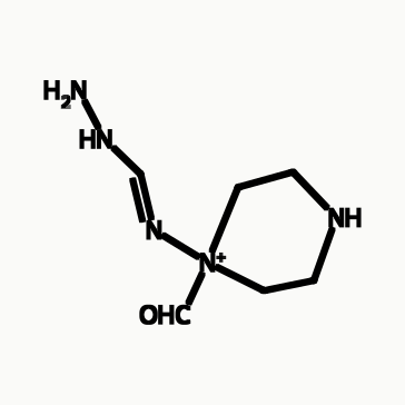 NNC=N[N+]1(C=O)CCNCC1